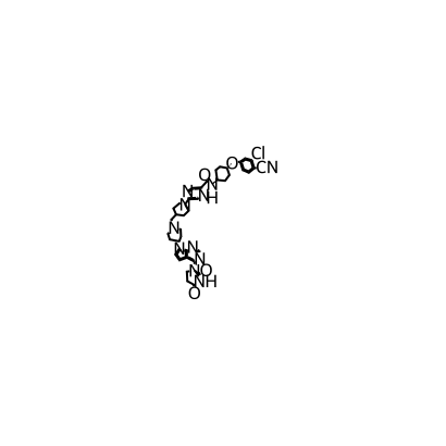 N#Cc1ccc(O[C@H]2CC[C@H](NC(=O)c3cnc(N4CCC(CN5CCC(n6ccc7c(N8CCC(=O)NC8=O)ncnc76)CC5)CC4)cn3)CC2)cc1Cl